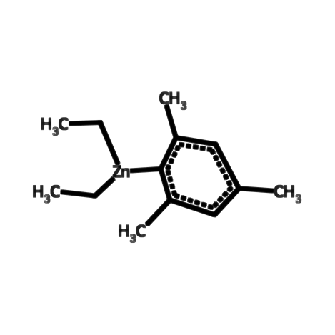 C[CH2][Zn]([CH2]C)[c]1c(C)cc(C)cc1C